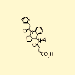 O=C(O)CCC(=O)N(C1CC1)C1c2ccccc2N(C(=O)Cc2cccs2)C2CCCC21